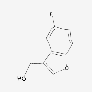 OCc1coc2ccc(F)cc12